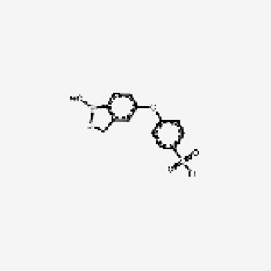 CCS(=O)(=O)c1ccc(Oc2ccc3c(c2)COB3O)cc1